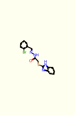 O=C(CSc1nc2ccccc2[nH]1)N/N=C/c1ccccc1Br